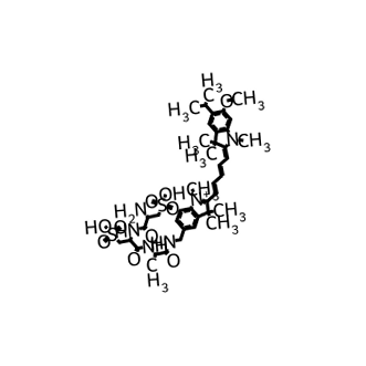 COc1cc2c(cc1C(C)C)C(C)(C)\C(=C/C=C/C=C/C1=[N+](C)c3ccc(CNC(=O)C(C)NC(=O)C(CS(=O)(=O)O)NC(=O)C(N)CS(=O)(=O)O)cc3C1(C)C)N2C